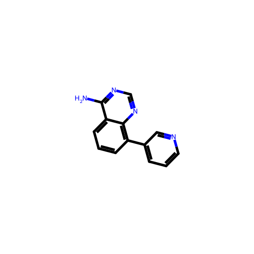 Nc1ncnc2c(-c3cccnc3)cccc12